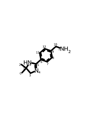 CC1(C)CN=C(c2ccc(CN)cc2)N1